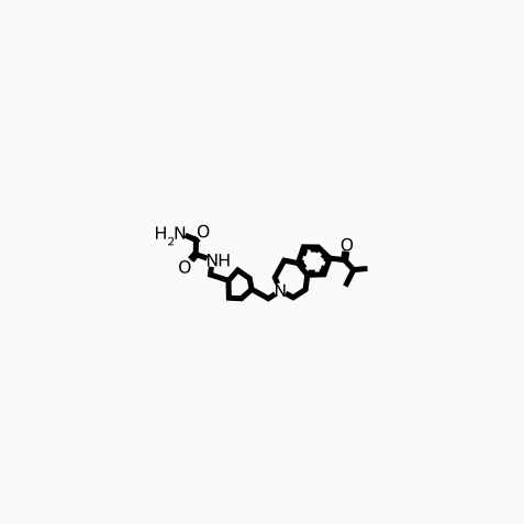 CC(C)C(=O)c1ccc2c(c1)CCN(CC1CCC(CNC(=O)C(N)=O)CC1)CC2